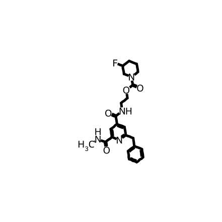 CNC(=O)c1cc(C(=O)NCCOC(=O)N2CCCC(F)C2)cc(Cc2ccccc2)n1